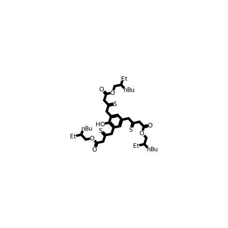 CCCCC(CC)COC(=O)CC(=S)Cc1cc(CC(=S)CC(=O)OCC(CC)CCCC)c(O)c(CC(=S)CC(=O)OCC(CC)CCCC)c1